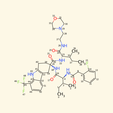 CCC(C)[C@H](NC(=O)Cc1ccccc1F)C(=O)N[C@]1(C(=O)N[C@H](C(=O)NCCN2CCOCC2)C(C)CC)CCc2[nH]c3c(C(F)(F)F)cccc3c2C1